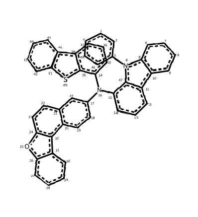 c1ccc(-n2c3ccccc3c3cccc(N(c4ccc5c(ccc6oc7ccccc7c65)c4)c4cccc5c4sc4ccccc45)c32)cc1